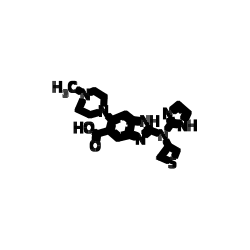 CN1CCN(c2cc3[nH]c(N(c4ncc[nH]4)C4CSC4)nc3cc2C(=O)O)CC1